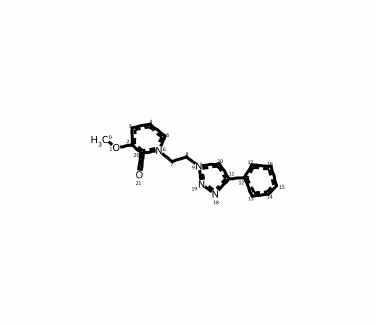 COc1cccn(CCn2cc(-c3ccccc3)nn2)c1=O